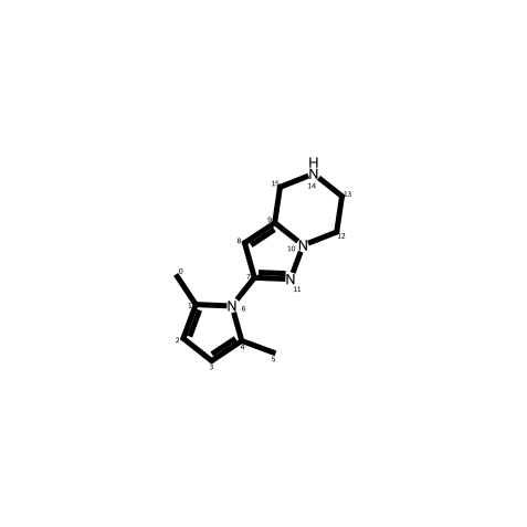 Cc1ccc(C)n1-c1cc2n(n1)CCNC2